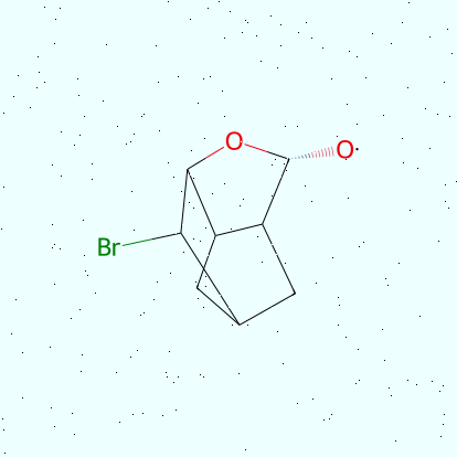 [O][C@H]1OC2C(Br)C3CC2C1C3